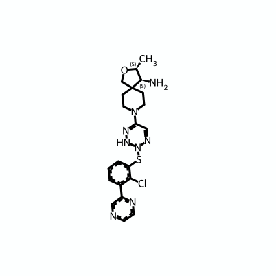 C[C@@H]1OCC2(CCN(C3=NNN(Sc4cccc(-c5cnccn5)c4Cl)N=C3)CC2)[C@@H]1N